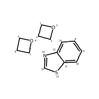 C1COC1.C1COC1.c1ccc2scnc2c1